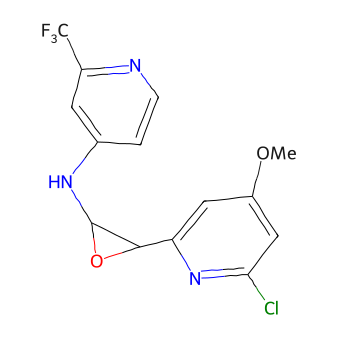 COc1cc(Cl)nc(C2OC2Nc2ccnc(C(F)(F)F)c2)c1